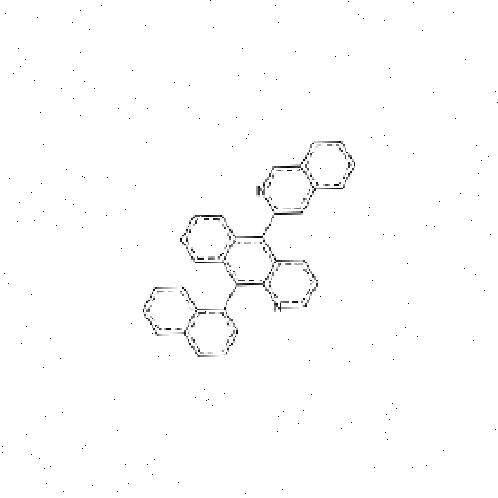 c1ccc2cc(-c3c4ccccc4c(-c4cccc5ccccc45)c4ncccc34)ncc2c1